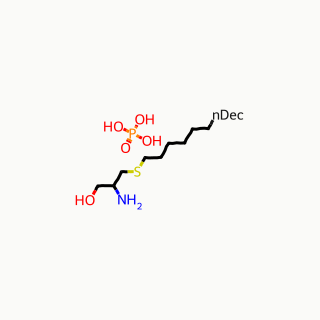 CCCCCCCCCCCCCCCCSCC(N)CO.O=P(O)(O)O